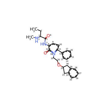 CCC(NC)C(=O)Nc1ccc(-c2ccccc2)n(CCOC2Cc3ccccc3C2)c1=O